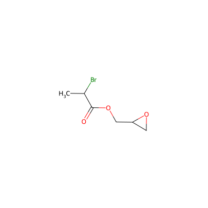 CC(Br)C(=O)OCC1CO1